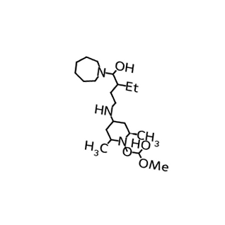 CCC(CCNC1CC(C)N(OC(O)OC)[C@H](C)C1)C(O)N1CCCCCC1